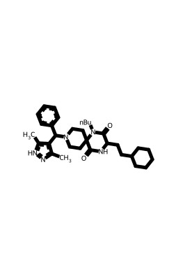 CCCCN1C(=O)C(CCC2CCCCC2)NC(=O)C12CCN(C(c1ccccc1)c1c(C)n[nH]c1C)CC2